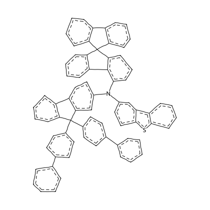 c1ccc(-c2ccc(C3(c4ccc(-c5ccccc5)cc4)c4ccccc4-c4ccc(N(c5ccc6sc7ccccc7c6c5)c5cccc6c5-c5ccccc5C65c6ccccc6-c6ccccc65)cc43)cc2)cc1